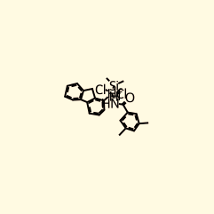 Cc1cc(C)cc(C(=O)[NH][Hf]([Cl])([Cl])([c]2cccc3c2Cc2ccccc2-3)[SiH](C)C)c1